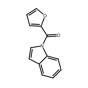 O=C(c1ccco1)n1ccc2c[c]ccc21